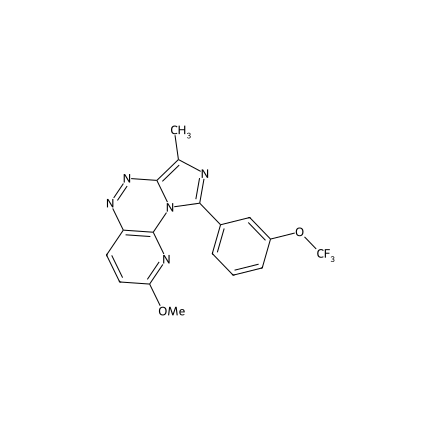 COc1ccc2nnc3c(C)nc(-c4cccc(OC(F)(F)F)c4)n3c2n1